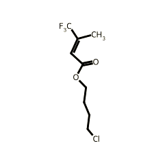 C/C(=C\C(=O)OCCCCCl)C(F)(F)F